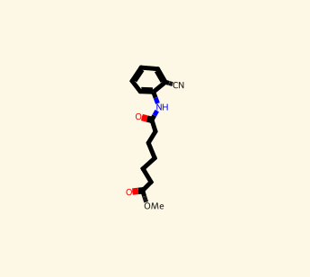 COC(=O)CCCCCC(=O)Nc1ccccc1C#N